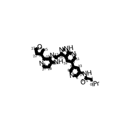 CC(C)CC(=O)Nc1cncc(-c2cnc3[nH]nc(-c4nc5c(-c6ccoc6)nccc5[nH]4)c3c2)c1